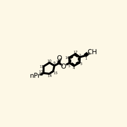 C#Cc1ccc(OC(=O)C2CCC(CCC)CC2)cc1